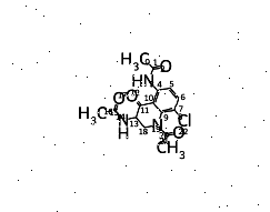 CC(=O)Nc1ccc(Cl)c2c1C(=O)C(NC(C)=O)CN2C(C)=O